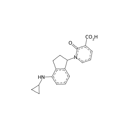 O=C(O)c1cccn(C2CCc3c(NC4CC4)cccc32)c1=O